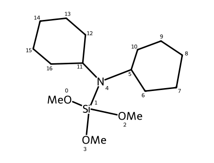 CO[Si](OC)(OC)N(C1CCCCC1)C1CCCCC1